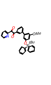 COc1cc(O[Si](c2ccccc2)(c2ccccc2)C(C)(C)C)cc(-c2cccc(C(=O)C(=O)c3ccccn3)c2)c1